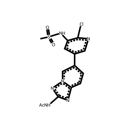 CC(=O)Nc1nc2ccc(-c3cnc(Cl)c(NS(C)(=O)=O)c3)cn2n1